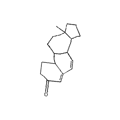 CC12CCCC1C1C=CC3=CC(=O)CCC3C1CC2